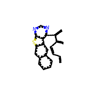 C=C/C=C\C(=C)C(=C)c1ncnc2sc3cc4ccccc4cc3c12